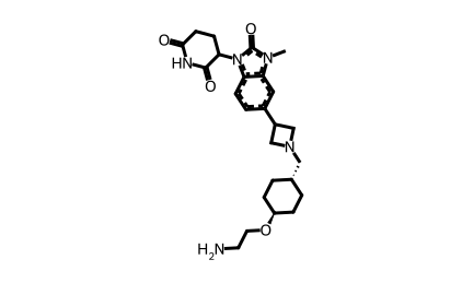 Cn1c(=O)n(C2CCC(=O)NC2=O)c2ccc(C3CN(C[C@H]4CC[C@H](OCCN)CC4)C3)cc21